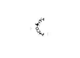 CC(C)Oc1ccc(-c2nc(-c3ccc4c(c3)CCN(C(C)C(=O)N[C@H](C)CO)CC4)no2)cc1C#N.Cl